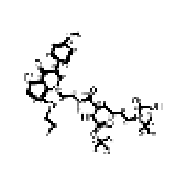 CCCOc1ccc(F)c2c(=O)c(-c3ccc(OC)cc3)cn(CCNC(=O)C(CCCCN(C(=O)O)C(C)(C)C)NC(=O)OC(C)(C)C)c12